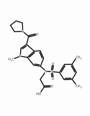 Cc1cc(C)cc(S(=O)(=O)N(CC(=O)O)c2ccc3c(C(=O)N4CCCC4)cn(C)c3c2)c1